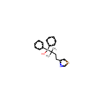 CC(C)(CCc1cscn1)[Si](O)(c1ccccc1)c1ccccc1